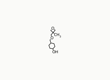 CC1(COCC2CCC(O)CC2)COC1